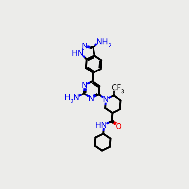 Nc1nc(-c2ccc3c(N)n[nH]c3c2)cc(N2CC(C(=O)NC3CCCCC3)CCC2C(F)(F)F)n1